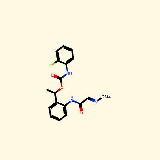 CON=CC(=O)Nc1ccccc1C(C)OC(=O)Nc1ccccc1F